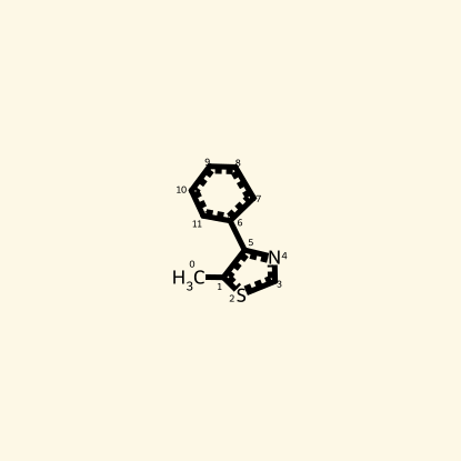 Cc1scnc1-c1ccccc1